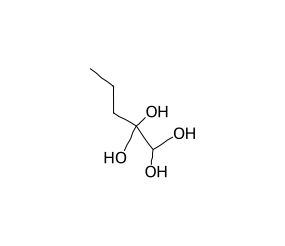 CCCC(O)(O)C(O)O